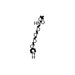 CC(C)(C)OC(=O)NCCOCCOCCOCCOC1CCNCC1